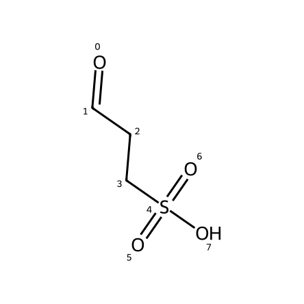 O=CCCS(=O)(=O)O